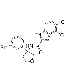 Cn1c(C(=O)NC2(c3cccc(Br)c3)CCOC2)cc2c(Cl)c(Cl)ccc21